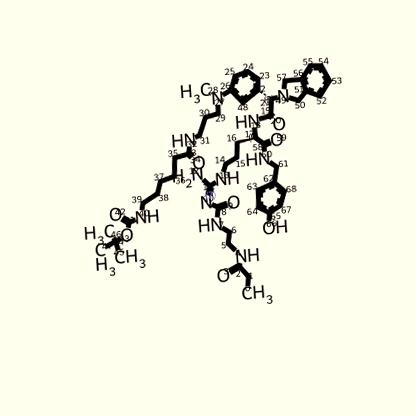 CCC(=O)NCCNC(=O)/N=C(/N)NCCC[C@@H](NC(=O)[C@H](c1cccc(N(C)CCCNC(=O)CCCCCNC(=O)OC(C)(C)C)c1)N1Cc2ccccc2C1)C(=O)NCc1ccc(O)cc1